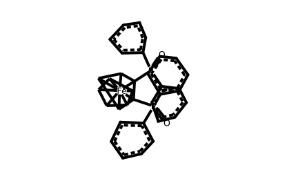 O=P(c1ccccc1)(c1ccccc1)[C]12[CH]3[CH]4[CH]5[C]1(P(=O)(c1ccccc1)c1ccccc1)[Fe]43521678[CH]2[CH]1[CH]6[CH]7[CH]28